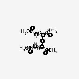 C[n+]1cn(-c2cncc(Oc3cc(-c4ccc(-c5cc(Oc6cncc(-n7c[n+](C)c8ccccc87)c6)cc(-n6c[n+](C)c7ccccc76)c5)cc4)cc(-n4c[n+](C)c5ccccc54)c3)c2)c2ccccc21